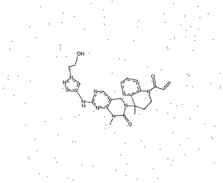 C=CC(=O)N1CCC(C)(N2Cc3cnc(Nc4cnn(CCO)c4)nc3N(C)C2=O)c2ccccc21